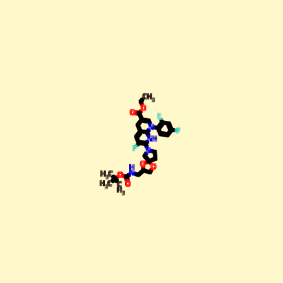 CCOC(=O)C1=CN(c2ccc(F)cc2F)C2NC(N3CCC4(C3)OCC(CNC(=O)OC(C)(C)C)O4)=C(F)C=C2C1